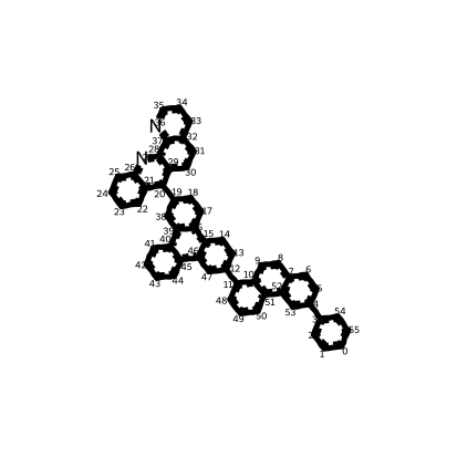 c1ccc(-c2ccc3ccc4c(-c5ccc6c7ccc(-c8c9ccccc9nc9c8ccc8cccnc89)cc7c7ccccc7c6c5)cccc4c3c2)cc1